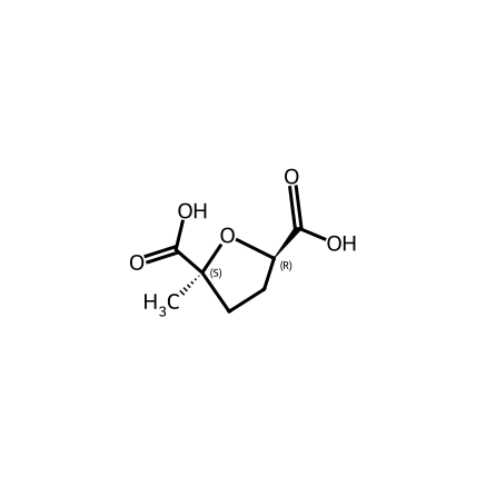 C[C@@]1(C(=O)O)CC[C@H](C(=O)O)O1